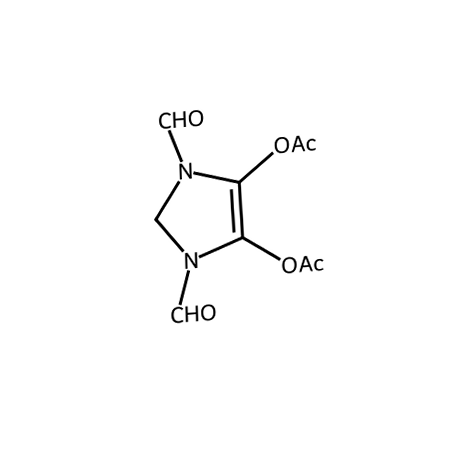 CC(=O)OC1=C(OC(C)=O)N(C=O)CN1C=O